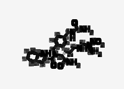 NC(=O)NCc1ccc(CN(C(=O)c2cc3ccccc3[nH]2)[C@H](CCCNC=[N+](N)[N+](=O)[O-])C(N)=O)cc1